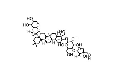 CC1(C)CC[C@]2(C(=O)O[C@@H]3OC[C@H](O)[C@H](O)[C@H]3O)CC[C@]3(C)C(=CC[C@@H]4[C@@]5(C)C[C@H](O)[C@H](O[C@@H]6O[C@H](CO)[C@@H](O[C@@H]7OC[C@](O)(CO)[C@H]7O)[C@H](O)[C@H]6O)[C@@](C)(CO)[C@@H]5CC[C@]43C)[C@@H]2C1